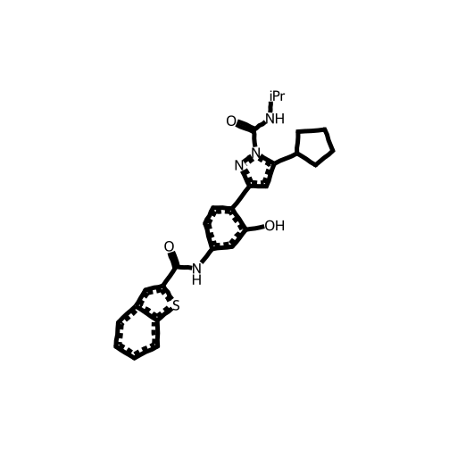 CC(C)NC(=O)n1nc(-c2ccc(NC(=O)c3cc4ccccc4s3)cc2O)cc1C1CCCC1